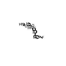 O=C(Nc1cc2nc(-c3cnn4c3CN(CCF)CC4)ccc2cn1)c1ccnc(OC2CNC2)c1